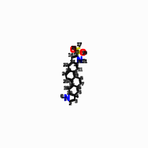 Cn1ccc2cc3ccc4c5cc6c(cc(S(C)(=O)=O)n6C)cc5ccc4c3cc21